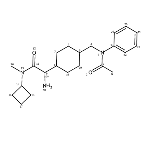 CC(=O)N(CC1CCC([C@H](N)C(=O)N(C)C2CCC2)CC1)c1ccccc1